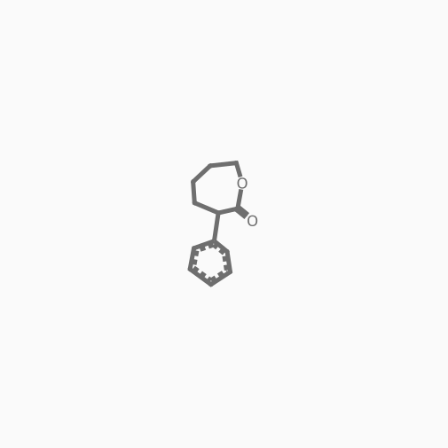 O=C1OCCCCC1c1ccccc1